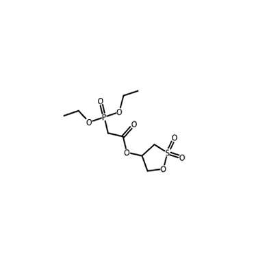 CCOP(=O)(CC(=O)OC1COS(=O)(=O)C1)OCC